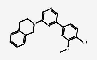 COc1cc(-c2cncc(N3CCc4ccccc4C3)n2)ccc1O